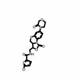 O=C(NCC1OC(=O)N2c3ccc(N4CCOCC4=O)cc3SCC12)c1ccc(Cl)s1